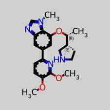 COc1ccc(-c2cc(O[C@H](C)[C@@H]3CCNC3)c3c(c2)ncn3C)nc1OC